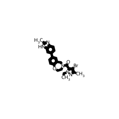 CCn1nc(C)c(Br)c1C(=O)N1CCOc2ccc(-c3ccc4nc(C)[nH]c4c3)cc2C1